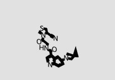 N#CC1CSCN1C(=O)CNC(=O)c1ccnc2ccc(N3CC4(CC4)C3)cc12